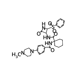 CN1CCN(c2ccc(C(=O)NC3(C(=O)NC4C(=O)NC4S(=O)(=O)c4ccccc4)CCCCC3)cc2)CC1